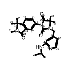 CC(C)Nc1cc(CN2C(=O)N(c3ccc4c(c3)C(=O)N(C)C4(C)C)C(=O)C2(C)C)ccn1